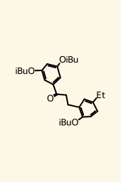 CCc1ccc(OCC(C)C)c(CCC(=O)c2cc(OCC(C)C)cc(OCC(C)C)c2)c1